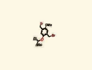 CCCCC(CC)Oc1cc(CBr)c(OC)cc1CBr